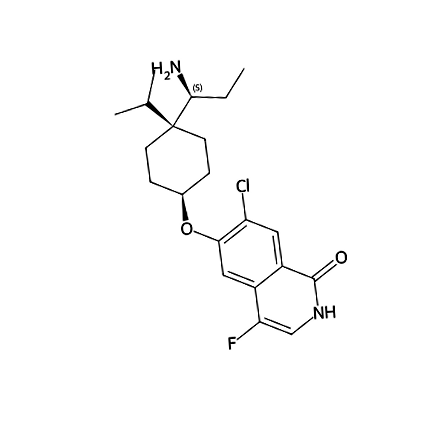 CC[C@H](N)[C@]1(C(C)C)CC[C@@H](Oc2cc3c(F)c[nH]c(=O)c3cc2Cl)CC1